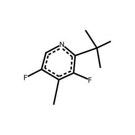 Cc1c(F)cnc(C(C)(C)C)c1F